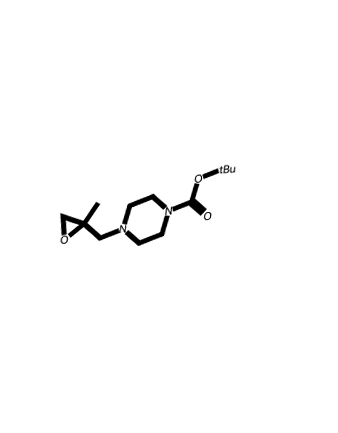 CC(C)(C)OC(=O)N1CCN(CC2(C)CO2)CC1